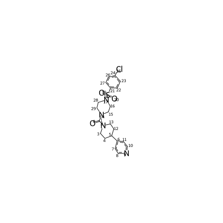 O=C(N1CCC(c2ccncc2)CC1)N1CCN(S(=O)(=O)c2ccc(Cl)cc2)CC1